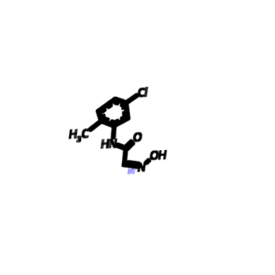 Cc1ccc(Cl)cc1NC(=O)/C=N\O